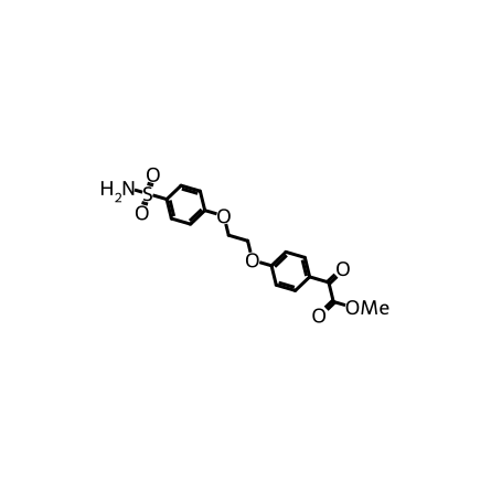 COC(=O)C(=O)c1ccc(OCCOc2ccc(S(N)(=O)=O)cc2)cc1